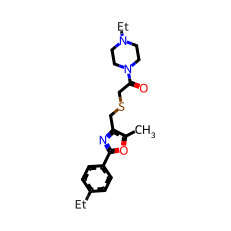 CCc1ccc(-c2nc(CSCC(=O)N3CCN(CC)CC3)c(C)o2)cc1